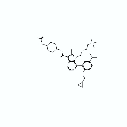 Cc1c(C(=O)NC2CCC(NC(=O)O)CC2)c2ncnc(-c3cc(C(C)C)ccc3OCC3CC3)c2n1COCC[Si](C)(C)C